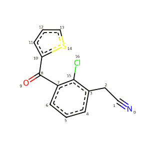 N#CCc1cccc(C(=O)c2cccs2)c1Cl